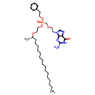 CCCCCCCCCCCCCCCCC(C)OCCOP(=O)(COCCn1cnc2c(=O)[nH]c(N)nc21)OCCc1ccccc1